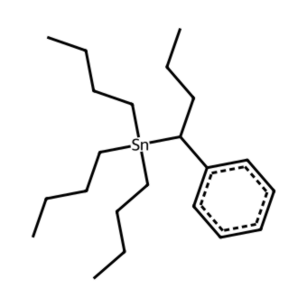 CCC[CH2][Sn]([CH2]CCC)([CH2]CCC)[CH](CCC)c1ccccc1